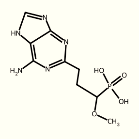 COC(CCc1nc(N)c2[nH]cnc2n1)P(=O)(O)O